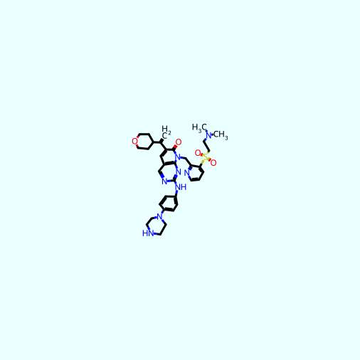 C=C(c1cc2cnc(Nc3ccc(N4CCNCC4)cc3)nc2n(Cc2ncccc2S(=O)(=O)CCN(C)C)c1=O)C1CCOCC1